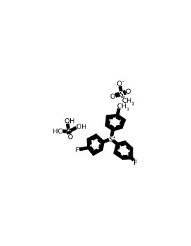 CS(=O)(=O)[O-].Cc1ccc([S+](c2ccc(F)cc2)c2ccc(F)cc2)cc1.O=P(O)(O)O